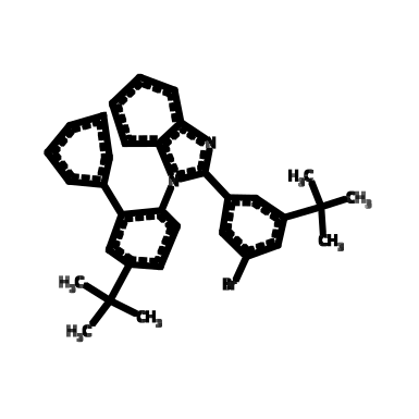 CC(C)(C)c1cc(Br)cc(-c2nc3ccccc3n2-c2ccc(C(C)(C)C)cc2-c2ccccc2)c1